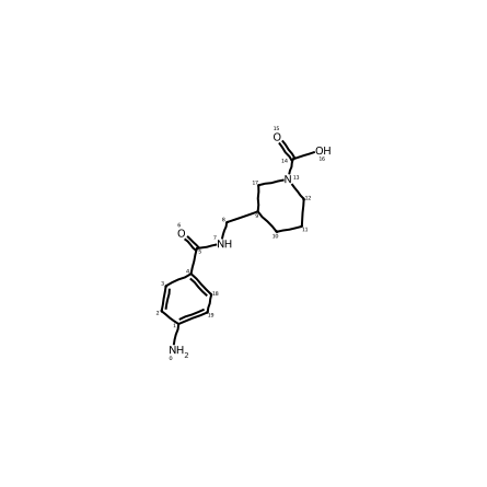 Nc1ccc(C(=O)NCC2CCCN(C(=O)O)C2)cc1